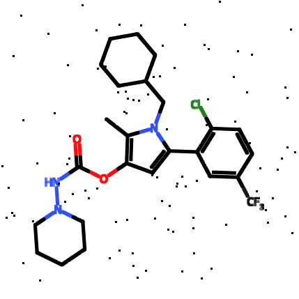 Cc1c(OC(=O)NN2CCCCC2)cc(-c2cc(C(F)(F)F)ccc2Cl)n1CC1CCCCC1